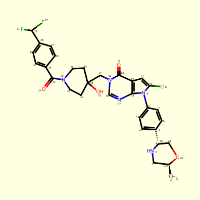 C[C@H]1CN[C@H](c2ccc(-n3c(Cl)cc4c(=O)n(CC5(O)CCN(C(=O)c6ccc(C(F)F)cc6)CC5)cnc43)cc2)CO1